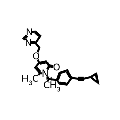 Cc1cc(OCc2ccncn2)cc(=O)n1[C@H](C)c1ccc(C#CC2CC2)cc1